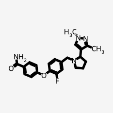 Cc1nn(C)cc1C1CCCN1Cc1ccc(Oc2ccc(C(N)=O)cc2)c(F)c1